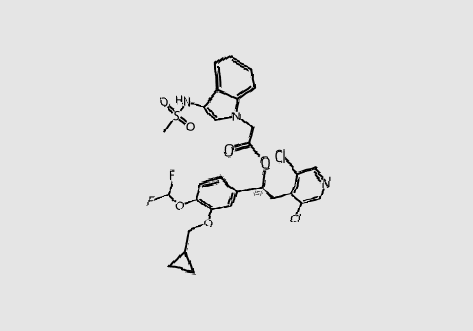 CS(=O)(=O)Nc1cn(CC(=O)O[C@@H](Cc2c(Cl)cncc2Cl)c2ccc(OC(F)F)c(OCC3CC3)c2)c2ccccc12